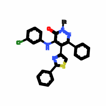 CCn1nc(-c2ccccc2)c(-c2csc(-c3ccccc3)n2)c(Nc2cccc(Cl)c2)c1=O